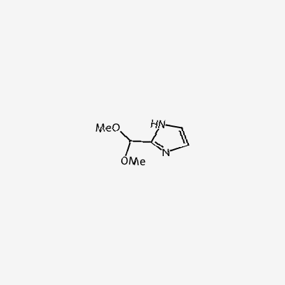 COC(OC)c1ncc[nH]1